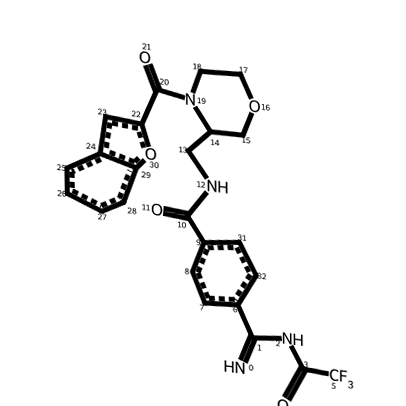 N=C(NC(=O)C(F)(F)F)c1ccc(C(=O)NCC2COCCN2C(=O)c2cc3ccccc3o2)cc1